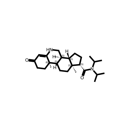 CC(C)N(C(=O)[C@H]1CC[C@H]2[C@@H]3CNC4=CC(=O)CC[C@]4(C)[C@H]3CC[C@]12C)C(C)C